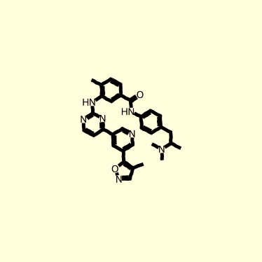 Cc1ccc(C(=O)Nc2ccc(CC(C)N(C)C)cc2)cc1Nc1nccc(-c2cncc(-c3oncc3C)c2)n1